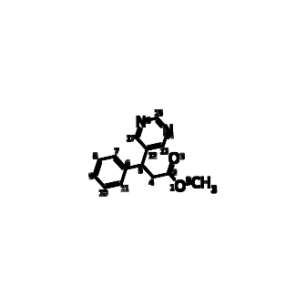 COC(=O)CC(c1ccccc1)c1cncnc1